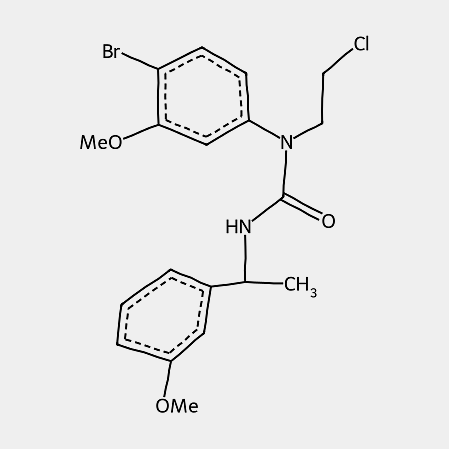 COc1cccc(C(C)NC(=O)N(CCCl)c2ccc(Br)c(OC)c2)c1